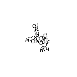 C=CC(=O)N1CCN(c2nc(O[C@H]3CN(C)CC3C)nc3c(Oc4c(Cl)c(F)cc5[nH]ncc45)nc(Cl)cc23)CC1